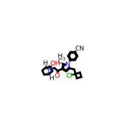 Cc1c(C(=O)CN2[C@@H]3CC[C@H]2[C@H](O)C3)cc(CC2(Cl)CCC2)n1-c1ccc(C#N)cc1